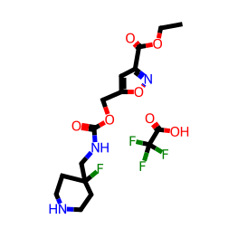 CCOC(=O)c1cc(COC(=O)NCC2(F)CCNCC2)on1.O=C(O)C(F)(F)F